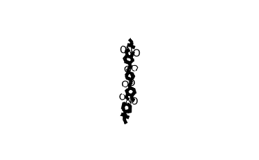 CCC(C)(C)C1CCC(N2C(=O)C3CCC(C(=O)Oc4ccc(OC(=O)C5CCC6C(=O)N(C(C)(C)CC)C(=O)C6C5)cc4)CC3C2=O)CC1